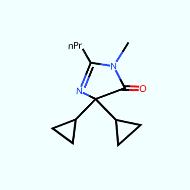 CCCC1=NC(C2CC2)(C2CC2)C(=O)N1C